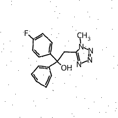 Cn1nnnc1CC(O)(c1ccccc1)c1ccc(F)cc1